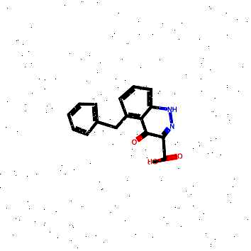 O=C(O)c1n[nH]c2cccc(Cc3ccccc3)c2c1=O